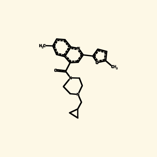 Cc1ccc2nc(-c3ccc(C)o3)cc(C(=O)N3CCN(CC4CC4)CC3)c2c1